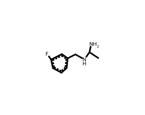 CC(N)NCc1cccc(F)c1